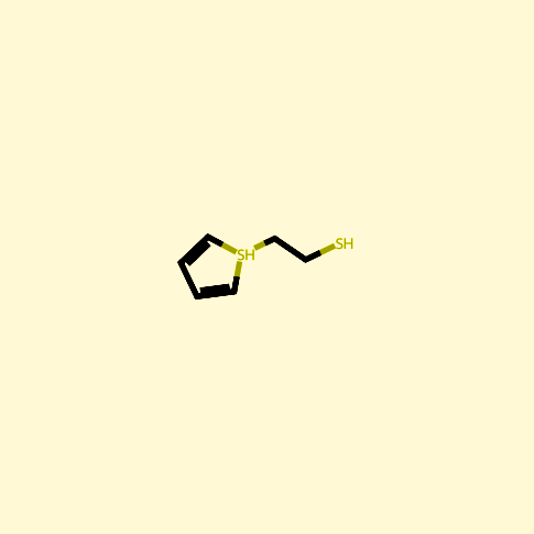 SCC[SH]1C=CC=C1